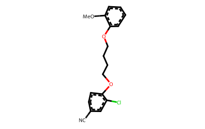 COc1ccccc1OCCCCOc1ccc(C#N)cc1Cl